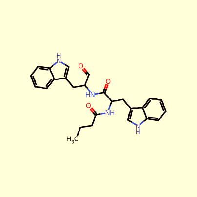 CCCC(=O)NC(Cc1c[nH]c2ccccc12)C(=O)NC(C=O)Cc1c[nH]c2ccccc12